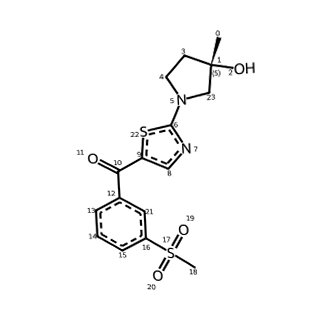 C[C@]1(O)CCN(c2ncc(C(=O)c3cccc(S(C)(=O)=O)c3)s2)C1